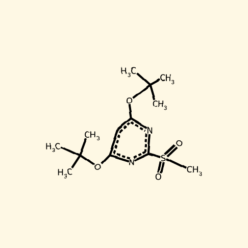 CC(C)(C)Oc1cc(OC(C)(C)C)nc(S(C)(=O)=O)n1